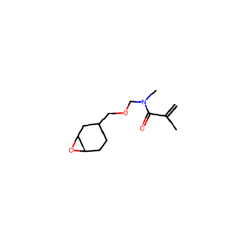 C=C(C)C(=O)N(C)COCC1CCC2OC2C1